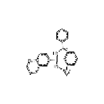 O=C(NC(NC1CC1)(c1ccc2ncncc2c1)c1ccccc1F)c1ccccc1